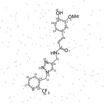 COc1cc(/C=C/C(=O)NCc2cn(Cc3ccccc3C(F)(F)F)nn2)ccc1O